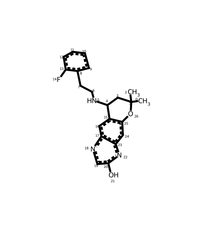 CC1(C)CC(NCCc2ccccc2F)c2cc3ncc(O)nc3cc2O1